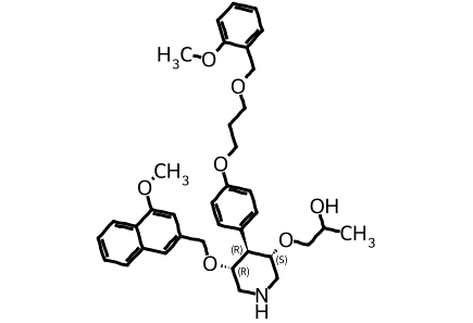 COc1ccccc1COCCCOc1ccc([C@@H]2[C@@H](OCc3cc(OC)c4ccccc4c3)CNC[C@H]2OCC(C)O)cc1